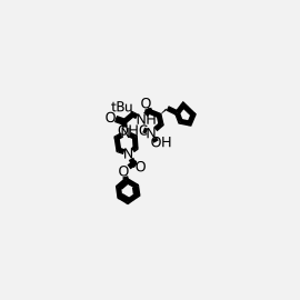 CC(C)(C)[C@H](NC(=O)[C@H](CC1CCCC1)CN(O)C=O)C(=O)N1CCN(C(=O)Oc2ccccc2)CC1